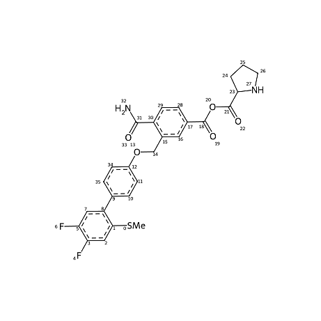 CSc1cc(F)c(F)cc1-c1ccc(OCc2cc(C(=O)OC(=O)C3CCCN3)ccc2C(N)=O)cc1